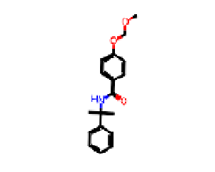 COCOc1ccc(C(=O)NC(C)(C)c2ccccc2)cc1